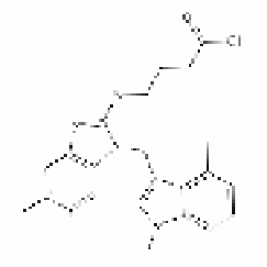 Cc1cc2nc(SCCCC(=O)O)n(Cc3cn(C)c4cccc(C)c34)c2cc1C